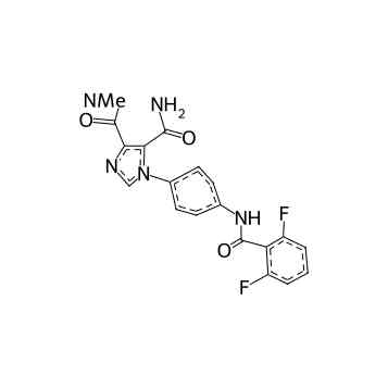 CNC(=O)c1ncn(-c2ccc(NC(=O)c3c(F)cccc3F)cc2)c1C(N)=O